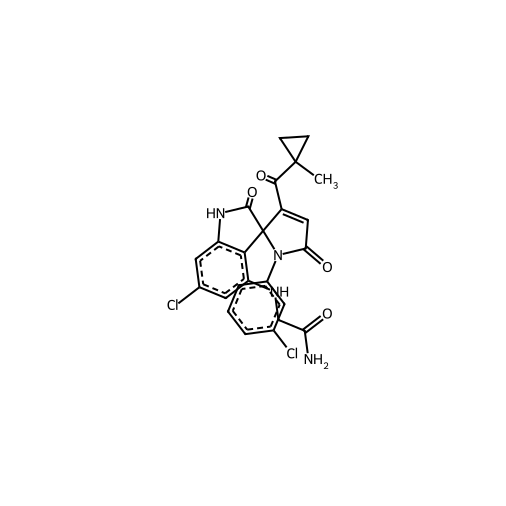 CC1(C(=O)C2=CC(=O)N(c3cccc(Cl)c3)C23C(=O)Nc2cc(Cl)cc(NCC(N)=O)c23)CC1